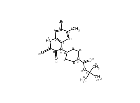 Cc1nc2c(cc1Br)[nH]c(=O)c(=O)n2C1CCN(C(=O)OC(C)(C)C)CC1